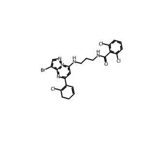 O=C(NCCCNc1cc(C2=C(Cl)CCC=C2)nc2c(Br)cnn12)c1c(Cl)cccc1Cl